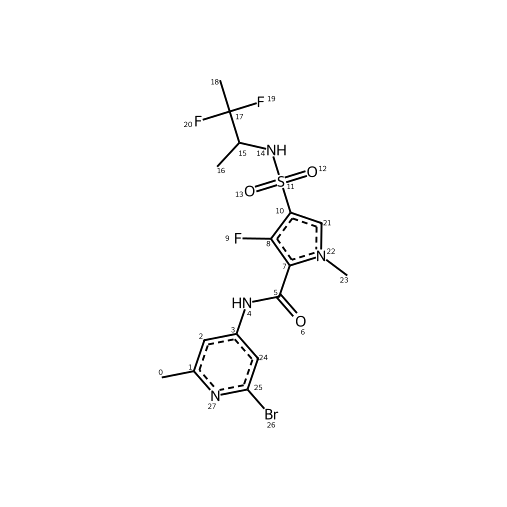 Cc1cc(NC(=O)c2c(F)c(S(=O)(=O)NC(C)C(C)(F)F)cn2C)cc(Br)n1